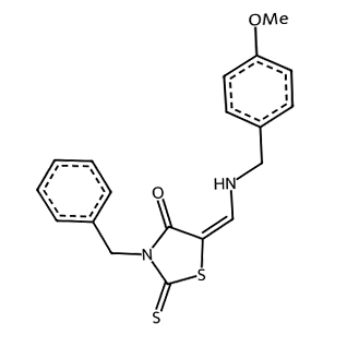 COc1ccc(CNC=C2SC(=S)N(Cc3ccccc3)C2=O)cc1